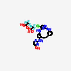 O=C(O)C(F)(F)F.O=C(O)C(F)(F)F.Oc1ccnc(Nc2ccc3cc2CCc2cccc(c2)Nc2ncc(Cl)c(n2)N3)n1